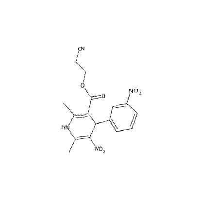 CC1=C(C(=O)OCCC#N)C(c2cccc([N+](=O)[O-])c2)C([N+](=O)[O-])=C(C)N1